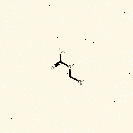 CCCCOC(=O)[C](C)C